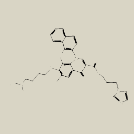 CN(C)CCCCNc1c(F)cc2c(=O)c(C(=O)NCCCn3ccnc3)cn3c2c1Oc1c-3ccc2ccccc12